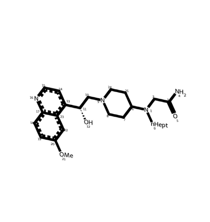 CCCCCCCN(CC(N)=O)C1CCN(C[C@H](O)c2ccnc3ccc(OC)cc23)CC1